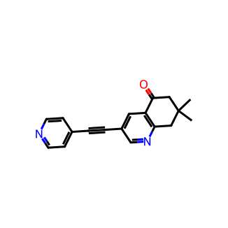 CC1(C)CC(=O)c2cc(C#Cc3ccncc3)cnc2C1